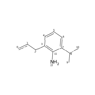 C=CCc1cccc(C(C)C)c1N